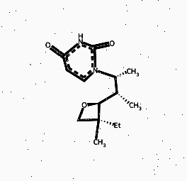 CC[C@]1(C)CO[C@H]1[C@@H](C)[C@@H](C)n1ccc(=O)[nH]c1=O